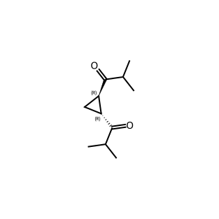 CC(C)C(=O)[C@@H]1C[C@H]1C(=O)C(C)C